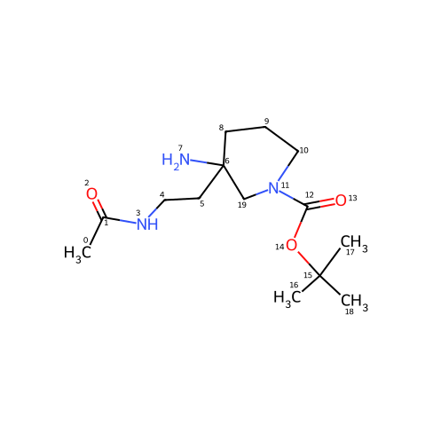 CC(=O)NCCC1(N)CCCN(C(=O)OC(C)(C)C)C1